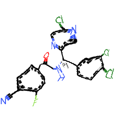 N#Cc1ccc(C(=O)N[C@@H](c2ccc(Cl)c(Cl)c2)c2cnc(Cl)cn2)cc1F